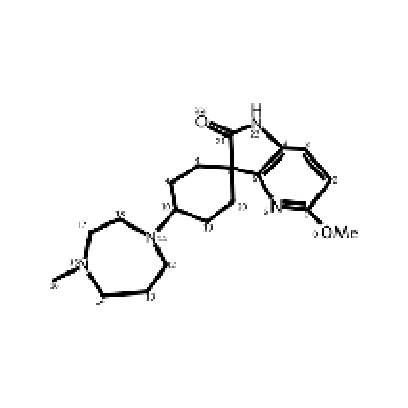 COc1ccc2c(n1)C1(CCC(N3CCCN(C)CC3)CC1)C(=O)N2